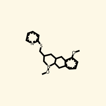 COc1cccc2c1CC1CC(CSc3ccccn3)CN(OC)C1C2